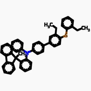 CCc1ccccc1Sc1ccc(-c2ccc(N(c3ccccc3)c3ccccc3C3(C)c4ccccc4-c4ccccc43)cc2)cc1CC